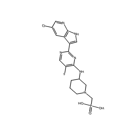 O=P(O)(O)CN1CCCC(Nc2nc(-c3c[nH]c4ncc(Cl)cc34)ncc2F)C1